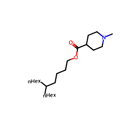 [CH2]CCCCCC(CCCCC[CH2])CCCCOC(=O)C1CCN(C)CC1